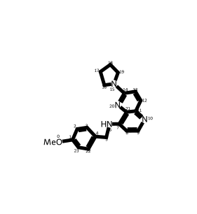 COc1ccc(CNc2ccnc3ccc(N4CCCC4)nc23)cc1